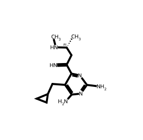 CN[C@H](C)CC(=N)c1nc(N)nc(N)c1CC1CC1